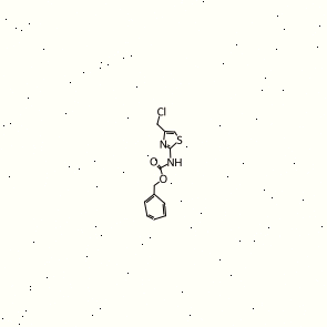 O=C(Nc1nc(CCl)cs1)OCc1ccccc1